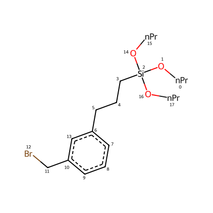 CCCO[Si](CCCc1cccc(CBr)c1)(OCCC)OCCC